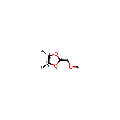 COCC1O[C@@H](C)[C@H](C)O1